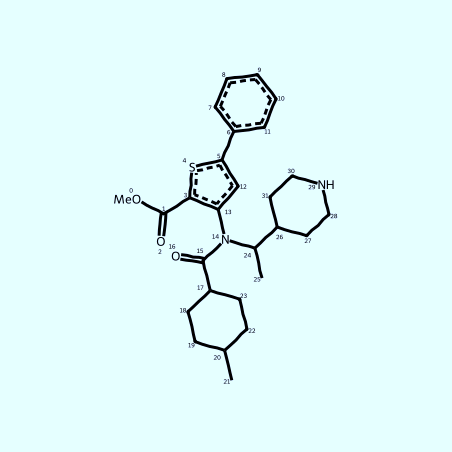 COC(=O)c1sc(-c2ccccc2)cc1N(C(=O)C1CCC(C)CC1)C(C)C1CCNCC1